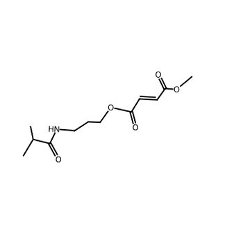 COC(=O)C=CC(=O)OCCCNC(=O)C(C)C